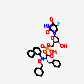 O=C(OP(=O)(O)OC[C@H]1O[C@@H](n2cc(F)c(=O)[nH]c2=O)C[C@@H]1O)[C@H](Cc1ccccc1)N(OCc1ccccc1)c1cccc2ccccc12